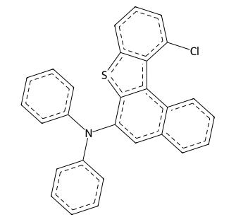 Clc1cccc2sc3c(N(c4ccccc4)c4ccccc4)cc4ccccc4c3c12